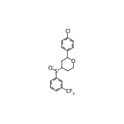 [O-][S+](c1cccc(C(F)(F)F)c1)C1CCOC(c2ccc(Cl)cc2)C1